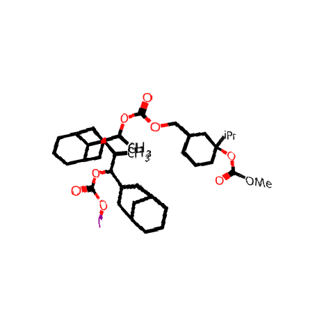 COC(=O)OC1(C(C)C)CCCC(COC(=O)OC(C)C2CC3CCCC(C2)C3CC(C)C(OC(=O)OI)C2CC3CCCC(C3)C2)C1